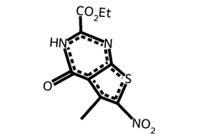 CCOC(=O)c1nc2sc([N+](=O)[O-])c(C)c2c(=O)[nH]1